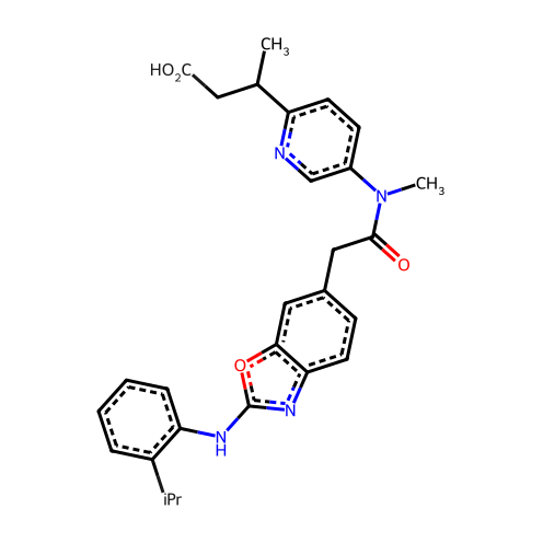 CC(C)c1ccccc1Nc1nc2ccc(CC(=O)N(C)c3ccc(C(C)CC(=O)O)nc3)cc2o1